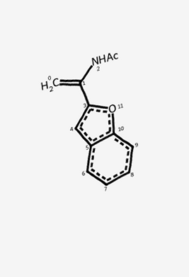 C=C(NC(C)=O)c1cc2ccccc2o1